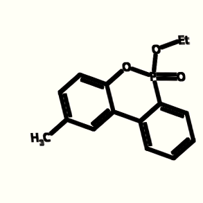 CCOP1(=O)Oc2ccc(C)cc2-c2ccccc21